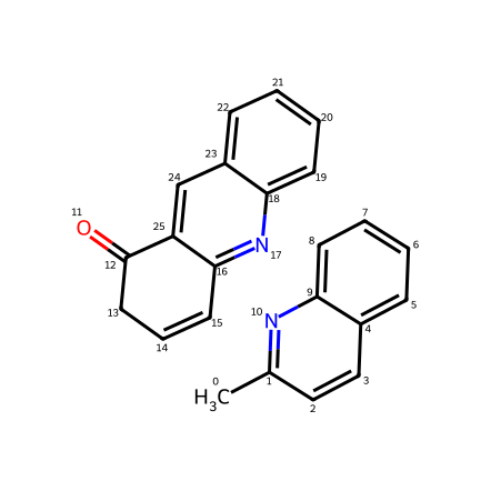 Cc1ccc2ccccc2n1.O=C1CC=Cc2nc3ccccc3cc21